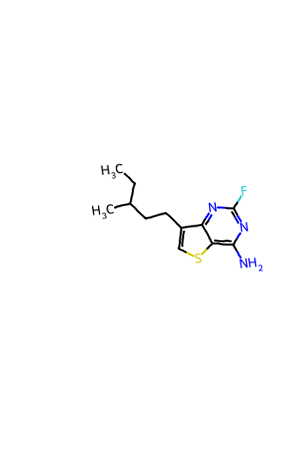 CCC(C)CCc1csc2c(N)nc(F)nc12